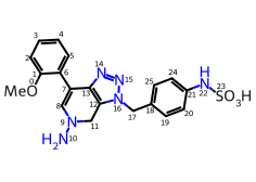 COc1ccccc1C1=CN(N)Cc2c1nnn2Cc1ccc(NS(=O)(=O)O)cc1